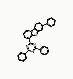 c1ccc(-c2ccc3c(c2)sc2c(-c4nc(-c5ccccc5)nc(-c5ccccc5)n4)cccc23)cc1